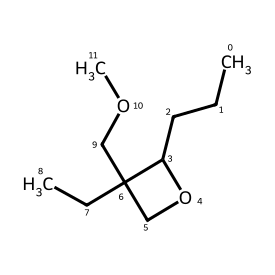 CCCC1OCC1(CC)COC